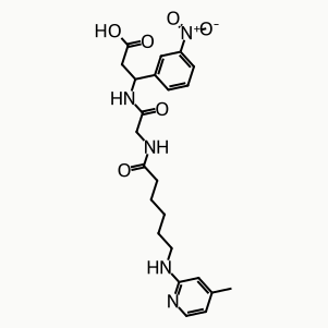 Cc1ccnc(NCCCCCC(=O)NCC(=O)NC(CC(=O)O)c2cccc([N+](=O)[O-])c2)c1